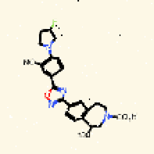 CC(C)(C)C1CN(C(=O)O)CCc2cc(-c3noc(-c4ccc(N5CCC(F)C5)c(C#N)c4)n3)ccc21